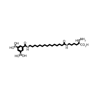 NN[C@@H](CCCCNC(=O)CCCCCCCCCCCCCCNC(=O)c1cc(B(O)O)cc(B(O)O)c1)C(=O)O